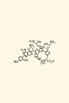 Cc1nc(-c2ccc(C(C)(C)C)cc2O)nc(N)c1C(=O)N[C@@H](CCN)C(=O)N(C)[C@@H]1C(=O)N[C@@H](C)C(=O)N[C@H](C(=O)O)Cc2ccc(OC[C@H](O)CN)c(c2)-c2cc1cc(OC[C@H](O)CN)c2O